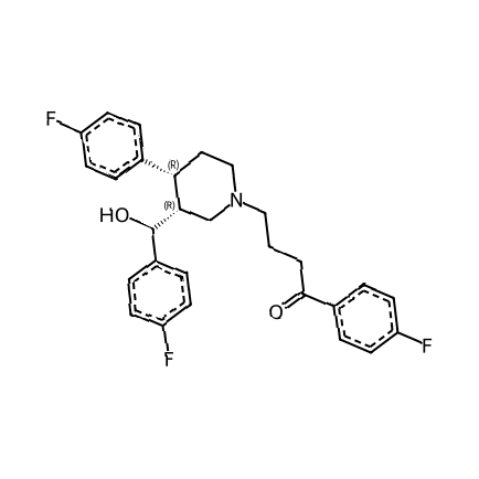 O=C(CCCN1CC[C@@H](c2ccc(F)cc2)[C@@H](C(O)c2ccc(F)cc2)C1)c1ccc(F)cc1